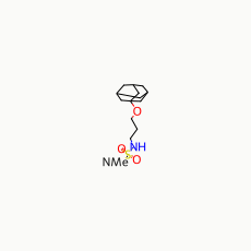 CNS(=O)(=O)NCCCOC12CC3CC(CC(C3)C1)C2